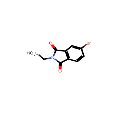 O=C(O)CN1C(=O)c2ccc(Br)cc2C1=O